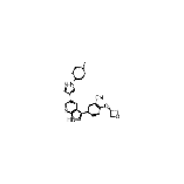 CN1CCC(n2cc(-c3cnc4[nH]cc(C5C=CC(OC6COC6)=C(C#N)C5)c4c3)cn2)CC1